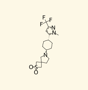 Cn1nc(C(F)(F)F)cc1[C@H]1CC[C@H](N2CCC3(C2)CS(=O)(=O)C3)CC1